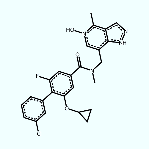 Cc1c2cn[nH]c2c(CN(C)C(=O)c2cc(F)c(-c3cccc(Cl)c3)c(OC3CC3)c2)c[n+]1O